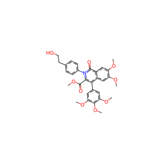 COC(=O)c1c(-c2cc(OC)c(OC)c(OC)c2)c2cc(OC)c(OC)cc2c(=O)n1-c1ccc(CCO)cc1